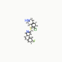 Fc1ccc(/C=C\c2ccc(CSc3c(Cl)ccc4c3CCNCC4)nc2)cc1